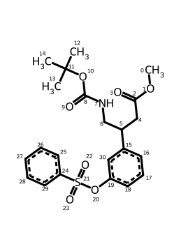 COC(=O)CC(CNC(=O)OC(C)(C)C)c1cccc(OS(=O)(=O)c2ccccc2)c1